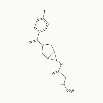 O=C(O)NCC(=O)NC1C2CN(C(=O)c3ccc(F)cc3)CC21